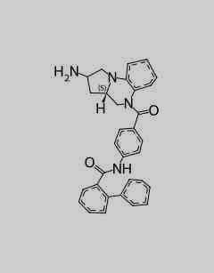 NC1C[C@H]2CN(C(=O)c3ccc(NC(=O)c4ccccc4-c4ccccc4)cc3)c3ccccc3N2C1